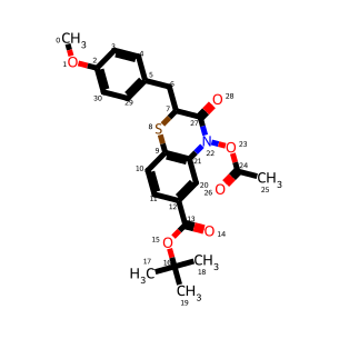 COc1ccc(CC2Sc3ccc(C(=O)OC(C)(C)C)cc3N(OC(C)=O)C2=O)cc1